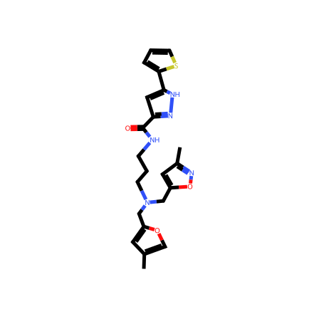 Cc1coc(CN(CCCNC(=O)c2cc(-c3cccs3)[nH]n2)Cc2cc(C)no2)c1